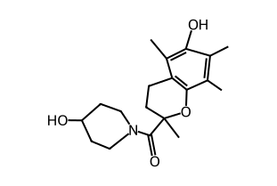 Cc1c(C)c2c(c(C)c1O)CCC(C)(C(=O)N1CCC(O)CC1)O2